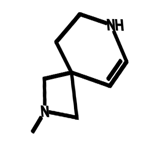 CN1CC2(C=CNCC2)C1